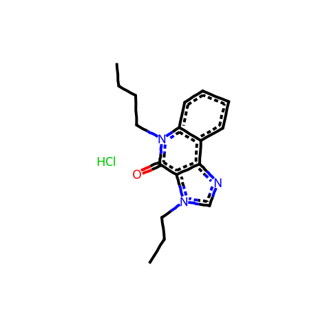 CCCCn1c(=O)c2c(ncn2CCC)c2ccccc21.Cl